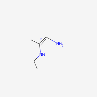 CCN/C(C)=C\N